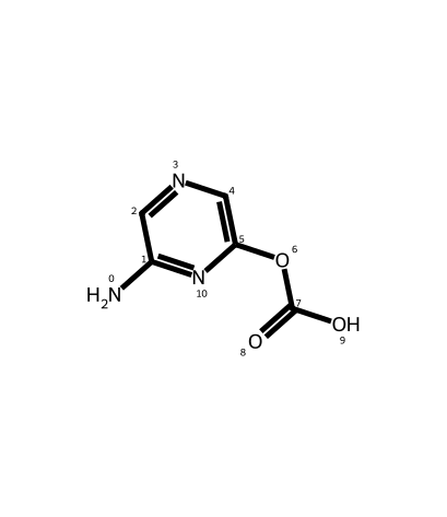 Nc1cncc(OC(=O)O)n1